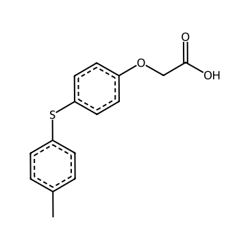 Cc1ccc(Sc2ccc(OCC(=O)O)cc2)cc1